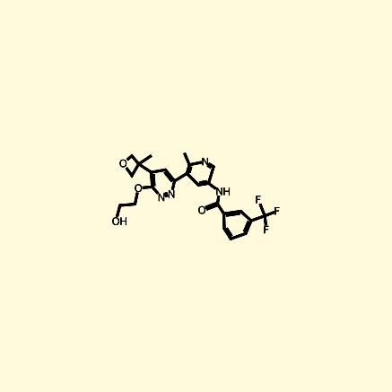 Cc1ncc(NC(=O)c2cccc(C(F)(F)F)c2)cc1-c1cc(C2(C)COC2)c(OCCO)nn1